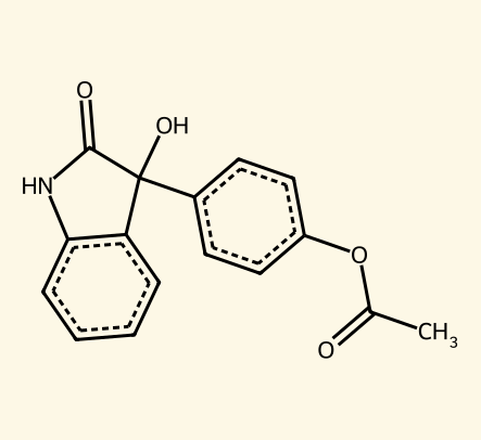 CC(=O)Oc1ccc(C2(O)C(=O)Nc3ccccc32)cc1